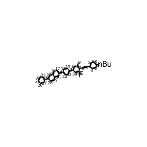 CCCCc1ccc(C#Cc2c(C)cc(-c3ccc(-c4ccc5cc(-c6ccccc6)ccc5c4)cc3)cc2F)cc1